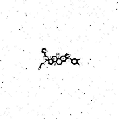 C[C@]12Cc3cnn(-c4ccc(F)c(F)c4)c3C=C1CC[C@@H]1[C@@H]2[C@@H](O)C[C@@]2(C)[C@H]1CC[C@]2(OC(=O)c1ccco1)C(=O)SCC#N